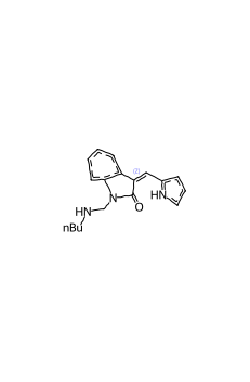 CCCCNCN1C(=O)/C(=C\c2ccc[nH]2)c2ccccc21